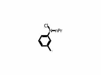 [CH2]c1cccc(N(Cl)CCC)c1